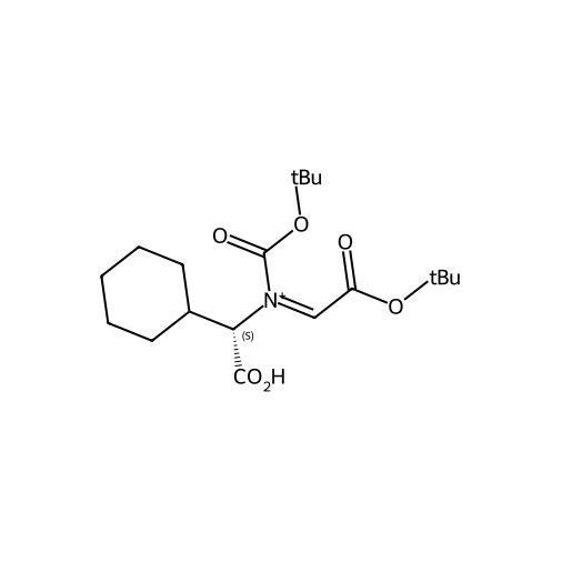 CC(C)(C)OC(=O)C=[N+](C(=O)OC(C)(C)C)[C@H](C(=O)O)C1CCCCC1